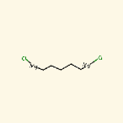 [Cl][Mg][CH2]CCC[CH2][Mg][Cl]